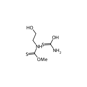 COC(=S)NCCO.NC(O)=S